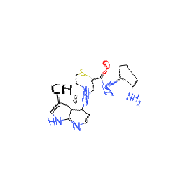 Cc1c[nH]c2nccc(N3C=C(C(=O)N[C@H]4CCC[C@@H]4N)SCC3)c12